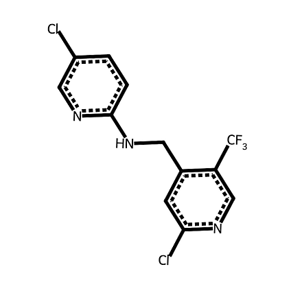 FC(F)(F)c1cnc(Cl)cc1CNc1ccc(Cl)cn1